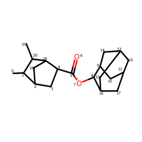 CC1C2CC(C(=O)OC3C4CC5CC(C4)CC3C5)C(C2)C1C